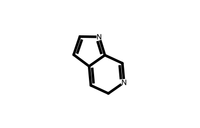 C1=CC2=CCN=CC2=N1